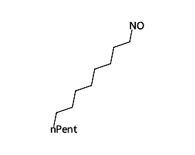 CCCCCCCCCCCCCN=O